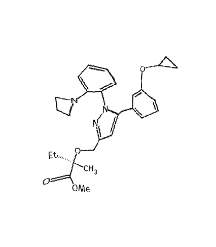 CC[C@@](C)(OCc1cc(-c2cccc(OC3CC3)c2)n(-c2ccccc2N2CCC2)n1)C(=O)OC